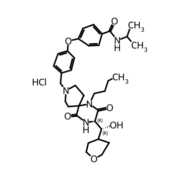 CCCCN1C(=O)[C@@H]([C@H](O)C2CCOCC2)NC(=O)C12CCN(Cc1ccc(Oc3ccc(C(=O)NC(C)C)cc3)cc1)CC2.Cl